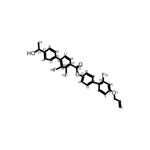 C=CCOc1ccc(-c2ccc(OC(=O)c3ccc(-c4ccc(C(C)O)cc4)c(F)c3F)cc2)c(F)c1